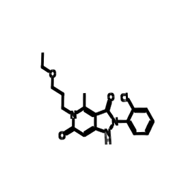 CCOCCCn1c(C)c2c(=O)n(-c3ccccc3Cl)[nH]c2cc1=O